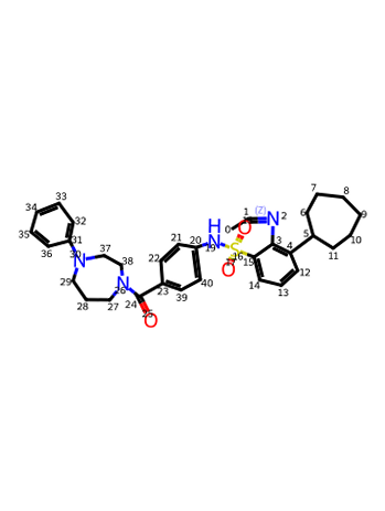 C/C=N\c1c(C2CCCCCC2)cccc1S(=O)(=O)Nc1ccc(C(=O)N2CCCN(c3ccccc3)CC2)cc1